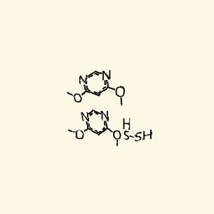 COc1cc(OC)ncn1.COc1cc(OC)ncn1.SS